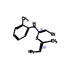 CC/C=C(/Nc1ccccc1C)S/C(C)=C\CCC